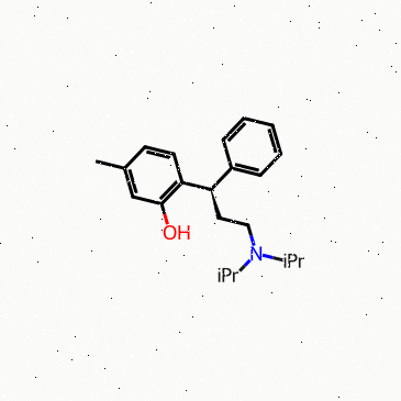 Cc1ccc([C@H](CCN(C(C)C)C(C)C)c2ccccc2)c(O)c1